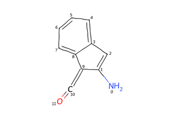 NC1=Cc2ccccc2C1=C=O